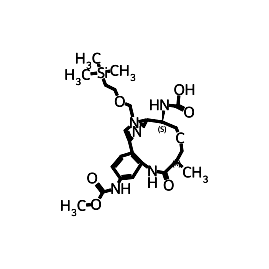 COC(=O)Nc1ccc2c(c1)NC(=O)[C@H](C)CCC[C@H](NC(=O)O)c1nc-2cn1COCC[Si](C)(C)C